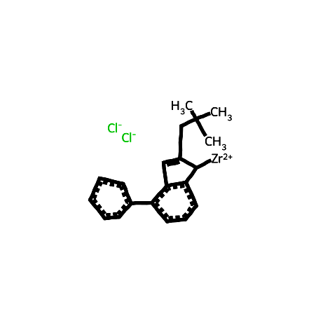 CC(C)(C)CC1=Cc2c(-c3ccccc3)cccc2[CH]1[Zr+2].[Cl-].[Cl-]